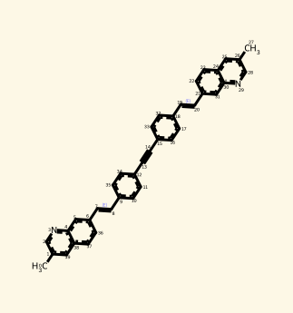 Cc1cnc2cc(/C=C/c3ccc(C#Cc4ccc(/C=C/c5ccc6cc(C)cnc6c5)cc4)cc3)ccc2c1